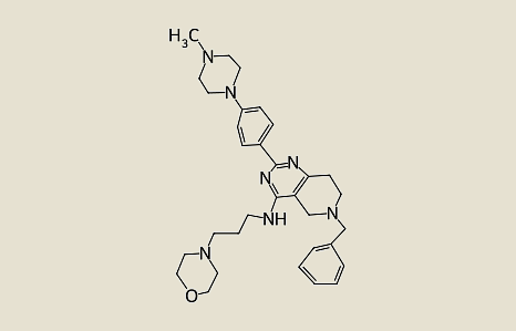 CN1CCN(c2ccc(-c3nc4c(c(NCCCN5CCOCC5)n3)CN(Cc3ccccc3)CC4)cc2)CC1